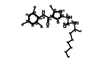 CCCCCCC(C)NC(=O)Nc1nc(C)c(C(=O)Nc2c(C)cc(C)cc2C)s1